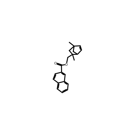 CC12C=CC(C1)C(C)(COC(=O)c1ccc3ccccc3c1)C2